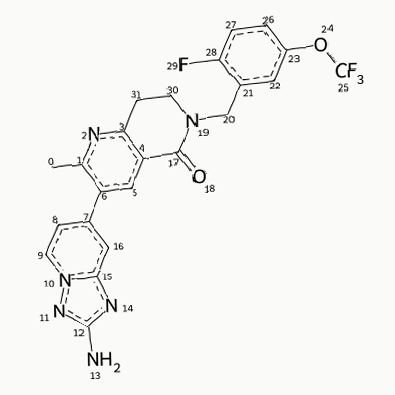 Cc1nc2c(cc1-c1ccn3nc(N)nc3c1)C(=O)N(Cc1cc(OC(F)(F)F)ccc1F)CC2